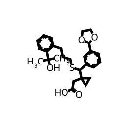 CC(C)(O)c1ccccc1CCCSC(c1cccc(C2OCCO2)c1)C1(CC(=O)O)CC1